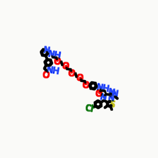 Cc1sc2c(c1C)C(c1ccc(Cl)cc1)=N[C@@H](CC(=O)Nc1ccc(OCCOCCOCCOCCOCCNc3ncccc3-c3ccc4c(c3)CC(=O)N4)cc1)c1nnc(C)n1-2